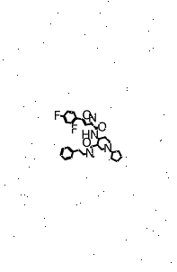 CN(CCc1ccccc1)C(=O)C1CN(C2CCCC2)CCC1NC(=O)c1cc(-c2ccc(F)cc2F)on1